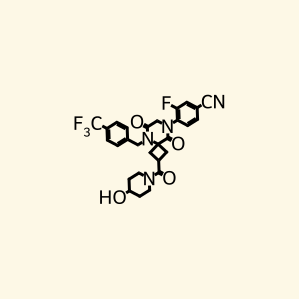 N#Cc1ccc(N2CC(=O)N(Cc3ccc(C(F)(F)F)cc3)C3(CC(C(=O)N4CCC(O)CC4)C3)C2=O)c(F)c1